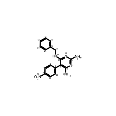 Nc1nc(N)c(-c2ccc([N+](=O)[O-])cc2)c(NCc2ccccc2)n1